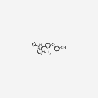 N#Cc1cccc(Oc2ccc(-c3nc(C4CCC4)n4ccnc(N)c34)cc2)c1